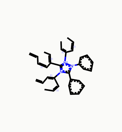 C=C/C=C\C(=C/C)c1n(C(/C=C\C)=C/C=C)c(-c2ccccc2)[n+](-c2ccccc2)[n+]1C(/C=C\C)=C/C